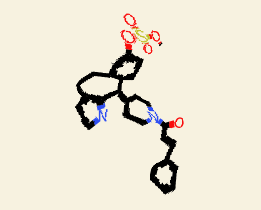 COS(=O)(=O)Oc1ccc2c(c1)CCc1cccnc1C2=C1CCN(C(=O)C=Cc2ccccc2)CC1